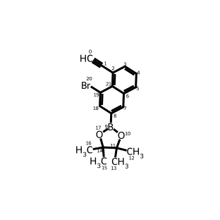 C#Cc1cccc2cc(B3OC(C)(C)C(C)(C)O3)cc(Br)c12